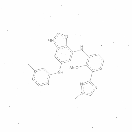 COc1c(Nc2cc(Nc3cc(C)ccn3)nc3[nH]cnc23)cccc1-c1ncn(C)n1